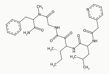 CC[C@H](C)C(NC(=O)C(CC(C)C)NC(=O)Cc1cccnc1)C(=O)C(=O)NCC(=O)N(C)C(Cc1ccccc1)C(N)=O